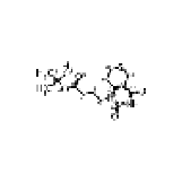 CC(C)(C)OC(=O)CCCn1c2c(c(=O)[nH]c1=O)CSCC2